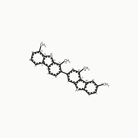 Cc1ccc2oc3cc(-c4ccc5c(oc6c(C)cccc65)c4C)cc(C)c3c2c1